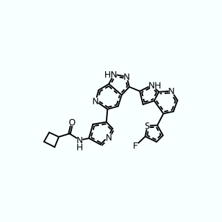 O=C(Nc1cncc(-c2cc3c(-c4cc5c(-c6ccc(F)s6)ccnc5[nH]4)n[nH]c3cn2)c1)C1CCC1